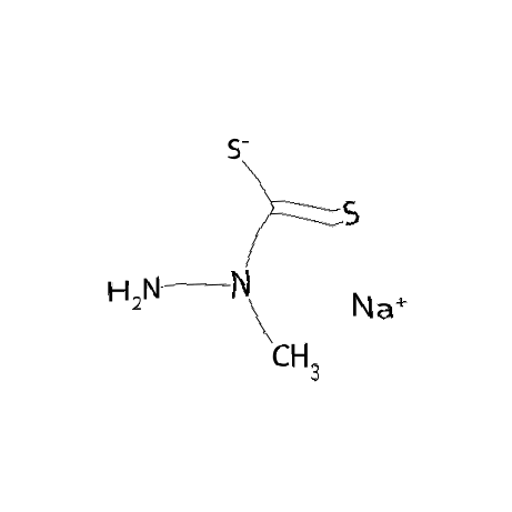 CN(N)C(=S)[S-].[Na+]